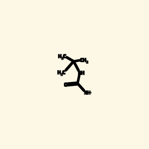 CC(C)(C)NC([NH])=O